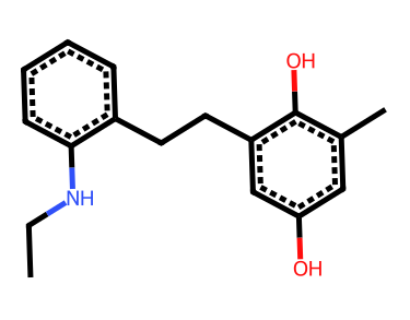 CCNc1ccccc1CCc1cc(O)cc(C)c1O